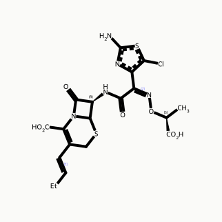 CC/C=C/C1=C(C(=O)O)N2C(=O)[C@@H](NC(=O)/C(=N\O[C@@H](C)C(=O)O)c3nc(N)sc3Cl)C2SC1